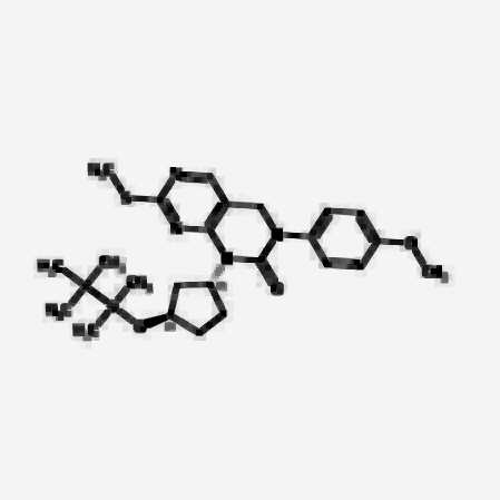 COc1ccc(N2Cc3cnc(SC)nc3N([C@@H]3CC[C@@H](O[Si](C)(C)C(C)(C)C)C3)C2=O)cc1